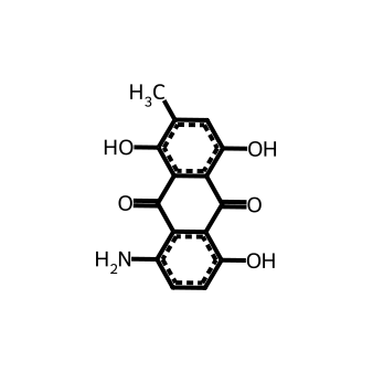 Cc1cc(O)c2c(c1O)C(=O)c1c(N)ccc(O)c1C2=O